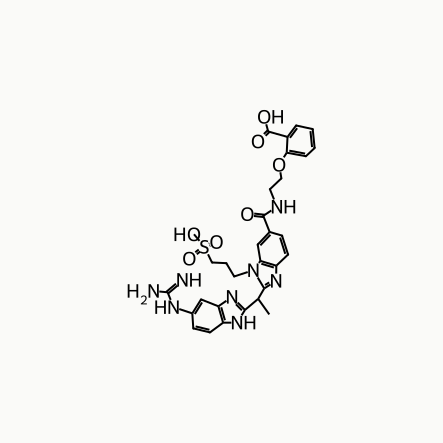 CC(c1nc2cc(NC(=N)N)ccc2[nH]1)c1nc2ccc(C(=O)NCCOc3ccccc3C(=O)O)cc2n1CCCS(=O)(=O)O